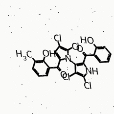 Cc1cccc(C(=O)c2cc(Cl)c(Cl)n2-c2c(C(=O)c3ccccc3O)[nH]c(Cl)c2Cl)c1O